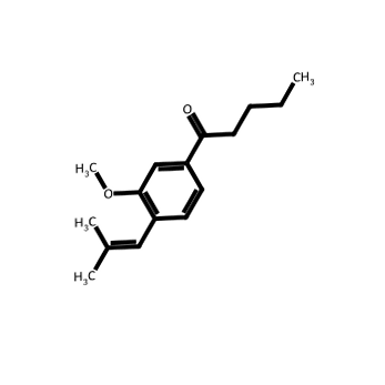 CCCCC(=O)c1ccc(C=C(C)C)c(OC)c1